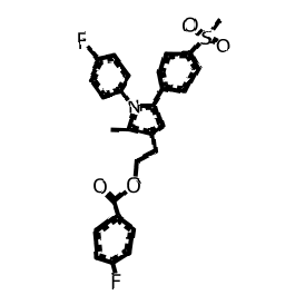 Cc1c(CCOC(=O)c2ccc(F)cc2)cc(-c2ccc(S(C)(=O)=O)cc2)n1-c1ccc(F)cc1